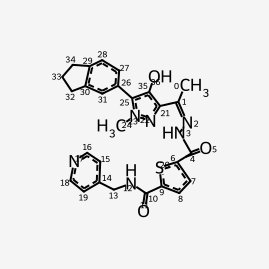 C/C(=N/NC(=O)c1ccc(C(=O)NCc2ccncc2)s1)c1nn(C)c(-c2ccc3c(c2)CCC3)c1O